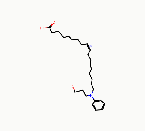 O=C(O)CCCCCCC/C=C\CCCCCCCCN(CCCO)c1ccccc1